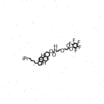 CC(C)CCC[C@@H](C)C1CC[C@H]2[C@@H]3CC=C4C[C@@H](OC(=O)NCCOCCC(=O)Oc5c(F)c(F)c(F)c(F)c5F)CC[C@]4(C)[C@H]3CC[C@]12C